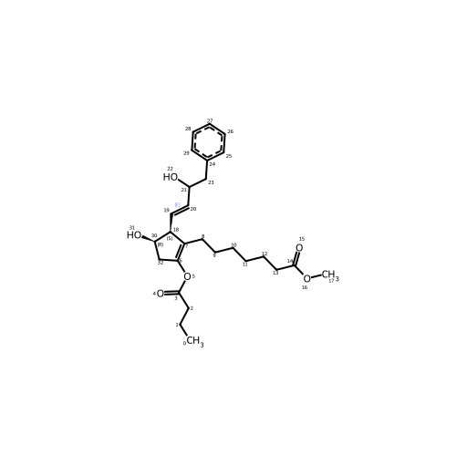 CCCC(=O)OC1=C(CCCCCCC(=O)OC)[C@H](/C=C/C(O)Cc2ccccc2)[C@H](O)C1